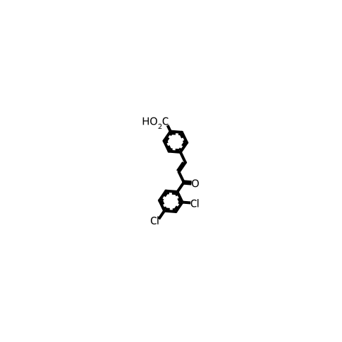 O=C(O)c1ccc(/C=C/C(=O)c2ccc(Cl)cc2Cl)cc1